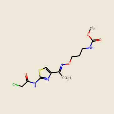 CC(C)(C)OC(=O)NCCCON=C(C(=O)O)c1csc(NC(=O)CCl)n1